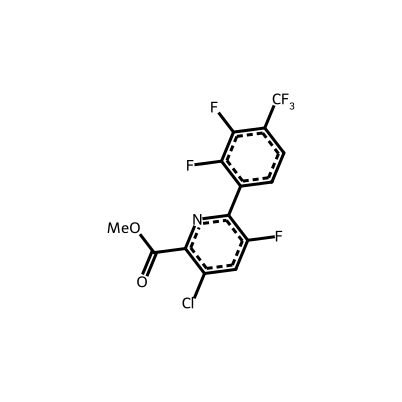 COC(=O)c1nc(-c2ccc(C(F)(F)F)c(F)c2F)c(F)cc1Cl